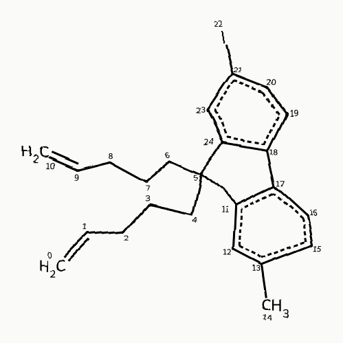 C=CCCCC1(CCCC=C)c2cc(C)ccc2-c2ccc(I)cc21